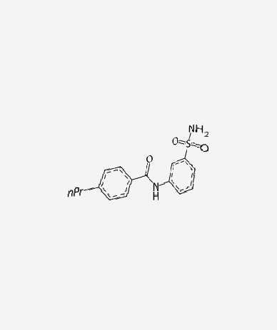 CCCc1ccc(C(=O)Nc2cccc(S(N)(=O)=O)c2)cc1